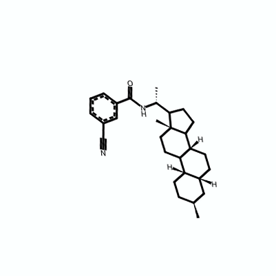 C[C@H]1CC[C@@H]2C3CC[C@@]4(C)C(CCC4[C@@H](C)NC(=O)c4cccc(C#N)c4)[C@@H]3CC[C@@H]2C1